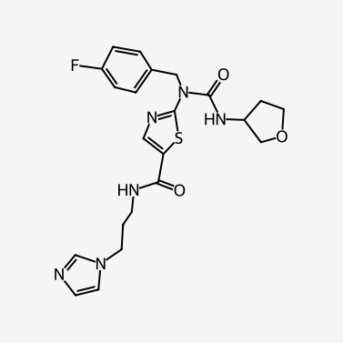 O=C(NCCCn1ccnc1)c1cnc(N(Cc2ccc(F)cc2)C(=O)NC2CCOC2)s1